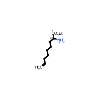 C=CCCCCC[C@H](N)C(=O)OCC